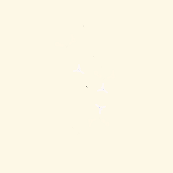 CCOC(=O)c1ccn(CC[C@@H]2CN(C(=O)OCc3ccccc3)CCN2C(=O)OC(C)(C)C)c1C